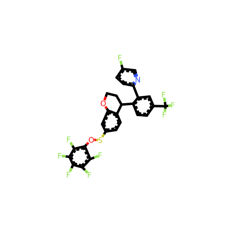 Fc1ccc(-c2cc(C(F)(F)F)ccc2C2CCOc3cc(SOc4c(F)c(F)c(F)c(F)c4F)ccc32)nc1